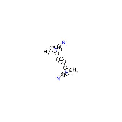 CC12CCCCC1(C)N(c1ccc(C#N)cc1)c1ccc(-c3ccc4c5c6c(ccc35)C=CC(c3ccc5c(c3)CC3(C)CCCCC3(C)N5c3ccc(C#N)cc3)C6=CC4)cc1C2